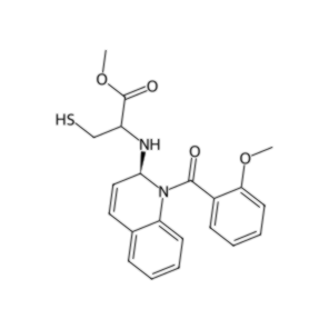 COC(=O)C(CS)N[C@@H]1C=Cc2ccccc2N1C(=O)c1ccccc1OC